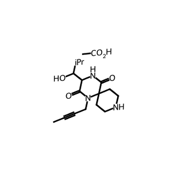 CC#CCN1C(=O)C(C(O)C(C)C)NC(=O)C12CCNCC2.CC(=O)O